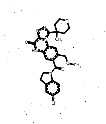 COCc1cc2c(cc1C(=O)N1CCc3cc(Cl)ccc31)[nH]c(=O)c1nnc(C3(C)CCOCC3)n12